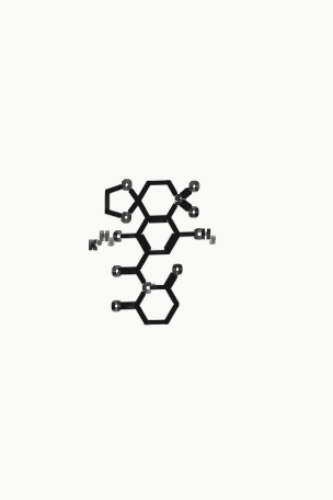 Cc1cc(C(=O)[C-]2C(=O)CCCC2=O)c(C)c2c1S(=O)(=O)CCC21OCCO1.[K+]